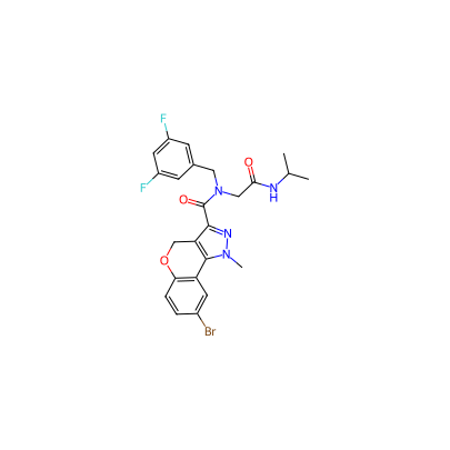 CC(C)NC(=O)CN(Cc1cc(F)cc(F)c1)C(=O)c1nn(C)c2c1COc1ccc(Br)cc1-2